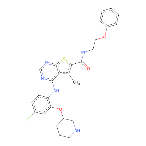 Cc1c(C(=O)NCCOc2ccccc2)sc2ncnc(Nc3ccc(F)cc3OC3CCCNC3)c12